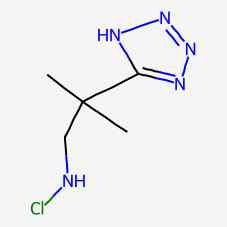 CC(C)(CNCl)c1nnn[nH]1